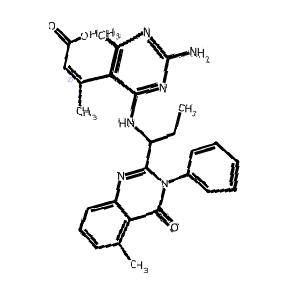 CCC(Nc1nc(N)nc(C)c1/C(C)=C\C(=O)O)c1nc2cccc(C)c2c(=O)n1-c1ccccc1